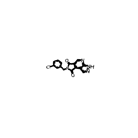 O=C1c2cnc3[nH]ncc3c2C(=O)N1Cc1cccc(Cl)c1